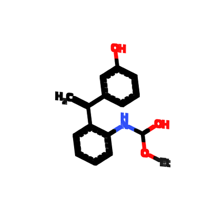 C=C(c1cccc(O)c1)c1ccccc1NC(O)OCC